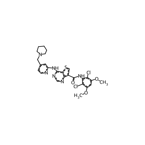 COc1cc(OC)c(Cl)c(NC(=O)c2csc3c(Nc4cc(CN5CCCCC5)ccn4)ncnc23)c1Cl